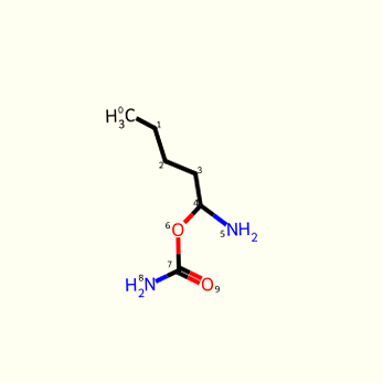 CCCCC(N)OC(N)=O